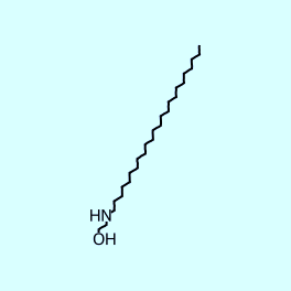 CCCCCCCCCCCCCCCCCCCCCCCCNCCO